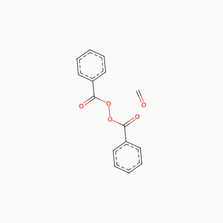 C=O.O=C(OOC(=O)c1ccccc1)c1ccccc1